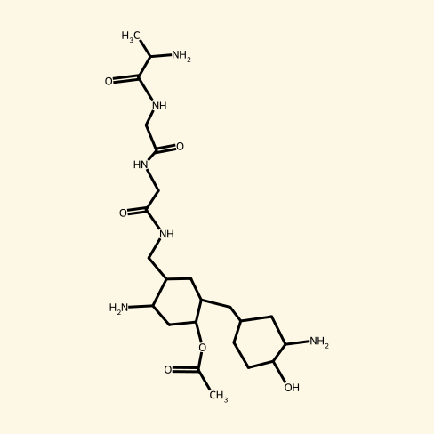 CC(=O)OC1CC(N)C(CNC(=O)CNC(=O)CNC(=O)C(C)N)CC1CC1CCC(O)C(N)C1